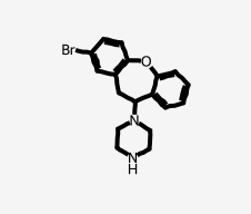 Brc1ccc2c(c1)CC(N1CCNCC1)c1ccccc1O2